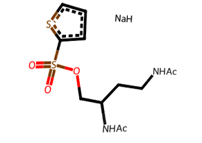 CC(=O)NCCC(COS(=O)(=O)c1cccs1)NC(C)=O.[NaH]